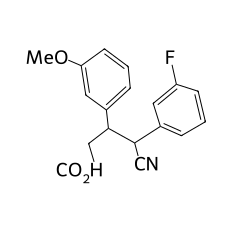 COc1cccc(C(CC(=O)O)C(C#N)c2cccc(F)c2)c1